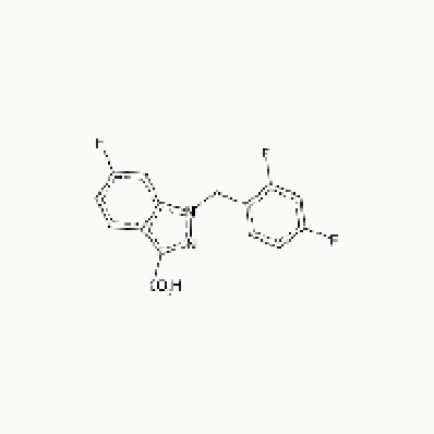 O=C(O)c1nn(Cc2ccc(F)cc2F)c2cc(F)ccc12